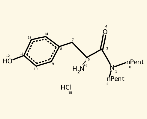 CCCCCN(CCCCC)C(=O)[C@H](N)Cc1ccc(O)cc1.Cl